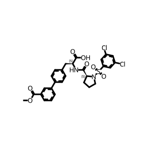 COC(=O)c1cccc(-c2ccc(C[C@H](NC(=O)[C@@H]3CCCN3S(=O)(=O)c3cc(Cl)cc(Cl)c3)C(=O)O)cc2)c1